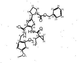 COc1ccc(CNC(=O)c2nc(C3CCCN3C(=O)OCc3ccccc3)sc2NC(=O)C2(CF)CC2)c(OC)c1